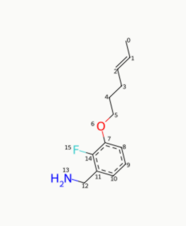 CC=CCCCOc1cccc(CN)c1F